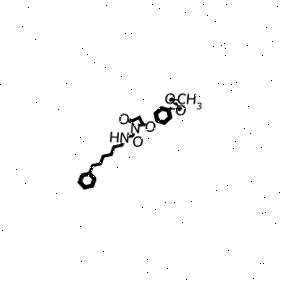 CS(=O)(=O)c1ccc(OC2CC(=O)N2C(=O)NCCCCCCc2ccccc2)cc1